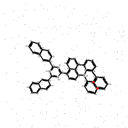 c1ccc(-c2cccc3c2N(c2ccccc2)c2ccc(-c4nc(-c5ccc6ccccc6c5)nc(-c5ccc6ccccc6c5)n4)c4cccc-3c24)cc1